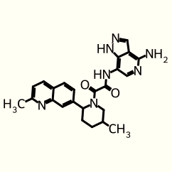 Cc1ccc2ccc(C3CCC(C)CN3C(=O)C(=O)Nc3cnc(N)c4cn[nH]c34)cc2n1